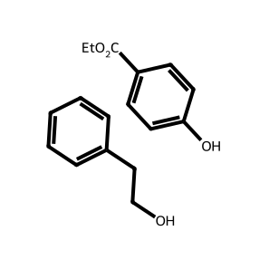 CCOC(=O)c1ccc(O)cc1.OCCc1ccccc1